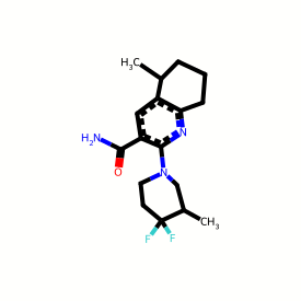 CC1CCCc2nc(N3CCC(F)(F)C(C)C3)c(C(N)=O)cc21